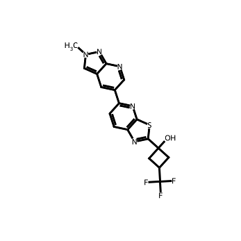 Cn1cc2cc(-c3ccc4nc(C5(O)CC(C(F)(F)F)C5)sc4n3)cnc2n1